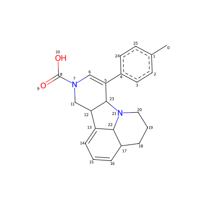 Cc1ccc(C2=CN(C(=O)O)CC3C4=CC=CC5CCCN(C45)C23)cc1